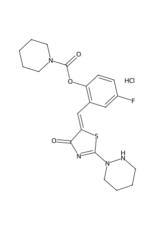 Cl.O=C1N=C(N2CCCCN2)SC1=Cc1cc(F)ccc1OC(=O)N1CCCCC1